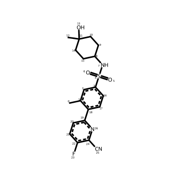 Cc1cc(S(=O)(=O)NC2CCC(C)(O)CC2)ccc1-c1ccc(F)c(C#N)n1